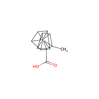 C[C]12[CH]3[CH]4[CH]5[C]1(C(=O)O)[Fe]43521678[CH]2[CH]1[CH]6[CH]7[CH]28